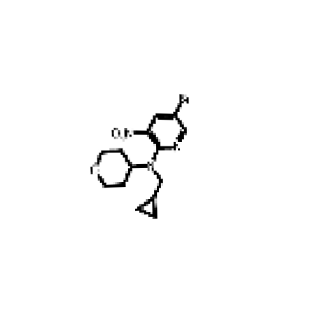 O=[N+]([O-])c1cc(Br)cnc1N(CC1CC1)C1CCOCC1